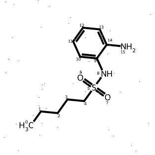 CCCCCS(=O)(=O)Nc1ccccc1N